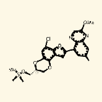 COc1cnc2c(-c3cc4c5c(cc(Cl)c4o3)O[C@@H](CO[Si](C)(C)C(C)(C)C)CO5)cc(C)cc2n1